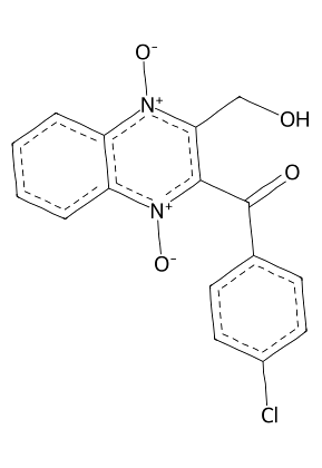 O=C(c1ccc(Cl)cc1)c1c(CO)[n+]([O-])c2ccccc2[n+]1[O-]